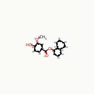 COc1cc(C(=O)Oc2cccc3ccccc23)ccc1O